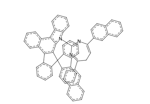 C1=C(c2ccc3ccccc3c2)N=C(n2c3ccccc3c3c4ccccc4c4c(c32)C2(c3ccccc3-c3ccccc32)c2ccccc2-4)N=C(c2ccc3ccccc3c2)C1